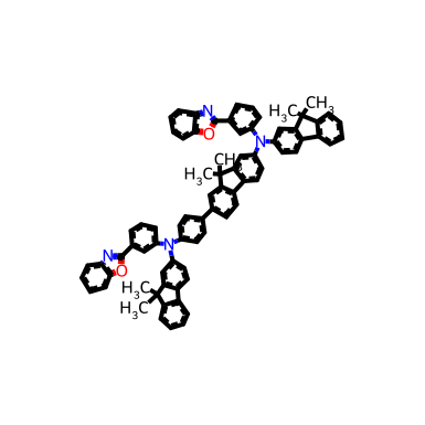 CC1(C)c2ccccc2-c2ccc(N(c3ccc(-c4ccc5c(c4)C(C)(C)c4cc(N(c6cccc(-c7nc8ccccc8o7)c6)c6ccc7c(c6)C(C)(C)c6ccccc6-7)ccc4-5)cc3)c3cccc(-c4nc5ccccc5o4)c3)cc21